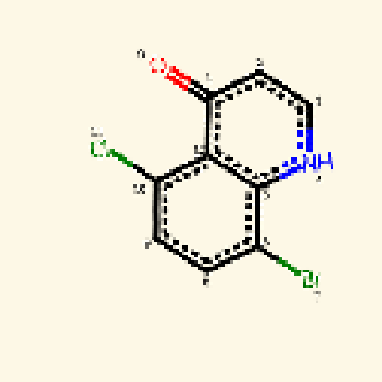 O=c1cc[nH]c2c(Br)ccc(Cl)c12